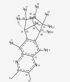 [2H]c1c2c(c([2H])c3nc(C)c(C)nc13)[C@@]1(C)C([2H])([2H])N([2H])C([2H])([2H])[C@]2([2H])C1([2H])[2H]